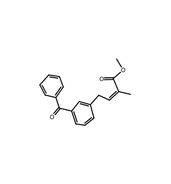 COC(=O)C(C)=CCc1cccc(C(=O)c2ccccc2)c1